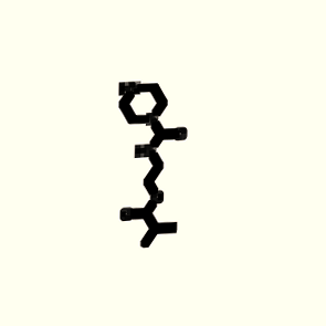 C=C(C)C(=O)OCCNC(=O)N1CCNCC1